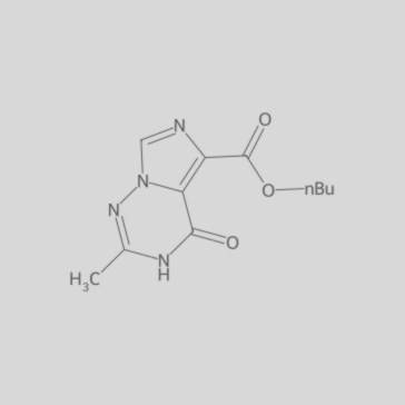 CCCCOC(=O)c1ncn2nc(C)[nH]c(=O)c12